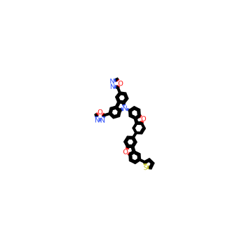 C1=CC(c2ccc3oc4ccc(-c5cccs5)cc4c3c2)Cc2c1oc1ccc(-n3c4ccc(-c5nnco5)cc4c4cc(-c5nnco5)ccc43)cc21